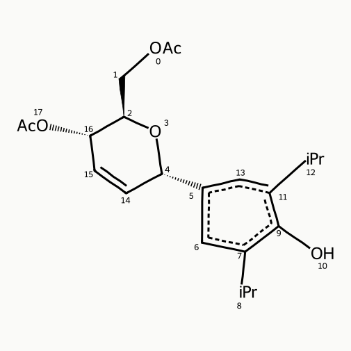 CC(=O)OC[C@H]1O[C@H](c2cc(C(C)C)c(O)c(C(C)C)c2)C=C[C@@H]1OC(C)=O